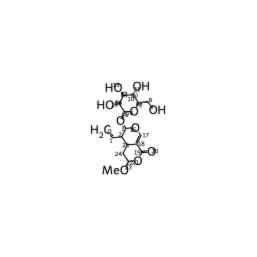 C=CC1C(O[C@@H]2O[C@H](CO)[C@@H](O)[C@H](O)[C@H]2O)OC=C2C(=O)OC(OC)CC21